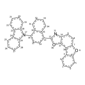 c1ccc2c(c1)oc1ccc3nc(-c4ccc(-n5c6ccccc6c6ccccc65)c5ccccc45)oc3c12